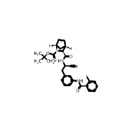 CC(C)(C)OC(=O)N1[C@@H]2CC[C@@H](C2)[C@H]1C(=O)NC(C#N)Cc1cccc(NC(=O)c2ccccc2I)c1